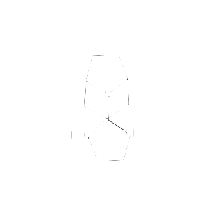 CC1(C)CC2CCC(C1)N2C1CCCC1